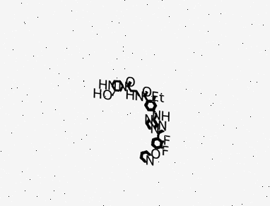 CCc1cc(Nc2nccn3c(-c4ccc(Oc5ccccn5)c(F)c4F)cnc23)ccc1C(=O)NCCC(=O)N1CCN[C@H](CO)C1